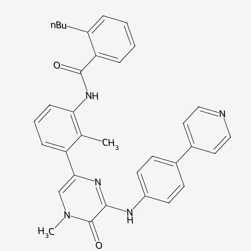 CCCCc1ccccc1C(=O)Nc1cccc(-c2cn(C)c(=O)c(Nc3ccc(-c4ccncc4)cc3)n2)c1C